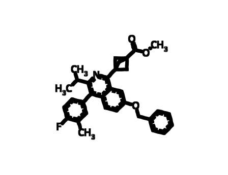 COC(=O)C12CC(c3nc(C(C)C)c(-c4ccc(F)c(C)c4)c4ccc(OCc5ccccc5)cc34)(C1)C2